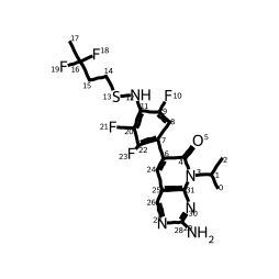 CC(C)n1c(=O)c(-c2cc(F)c(NSCCC(C)(F)F)c(F)c2F)cc2cnc(N)nc21